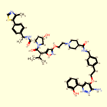 Cc1ncsc1-c1ccc([C@H](C)NC(=O)[C@@H]2C[C@@H](O)CN2C(=O)[C@@H](c2cc(OCCN3CCC(C(=O)NCc4ccc(CCOc5cc(-c6ccccc6O)nnc5N)cc4)CC3)no2)C(C)C)cc1